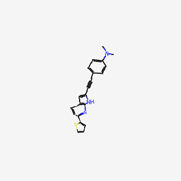 CN(C)c1ccc(C#Cc2cc3ccc(-c4cccs4)nc3[nH]2)cc1